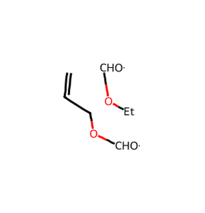 C=CCO[C]=O.CCO[C]=O